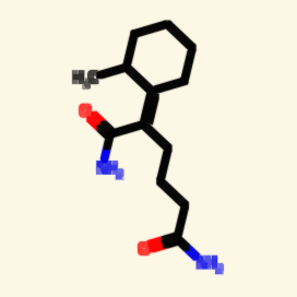 CC1CCCCC1=C(CCCC(N)=O)C(N)=O